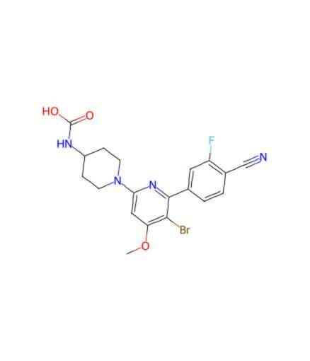 COc1cc(N2CCC(NC(=O)O)CC2)nc(-c2ccc(C#N)c(F)c2)c1Br